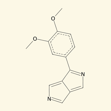 COc1ccc(C2=NC=C3C=NC=C32)cc1OC